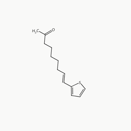 CC(=O)CCCCCC=Cc1cccs1